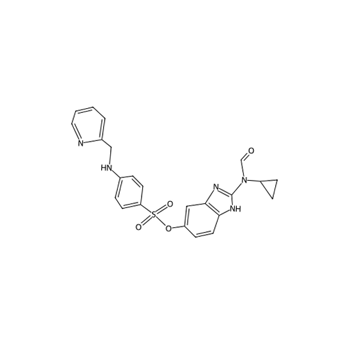 O=CN(c1nc2cc(OS(=O)(=O)c3ccc(NCc4ccccn4)cc3)ccc2[nH]1)C1CC1